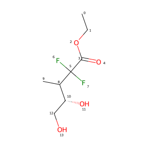 CCOC(=O)C(F)(F)C(C)[C@H](O)CO